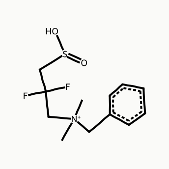 C[N+](C)(Cc1ccccc1)CC(F)(F)CS(=O)O